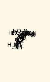 Cl.N=C(N)Nc1ccc2c(c1)CCCOc1c(cccc1C(=O)N(Cc1cc(OCc3ccccc3)cc(C(=O)O)c1)C(CC(=O)O)C(=O)O)OC2=O